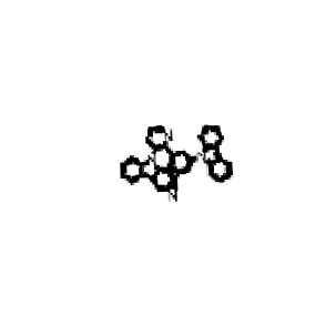 N#Cc1cc(-c2ncccc2-n2c3ccccc3c3ccccc32)cc(-n2c3ccccc3c3ccccc32)c1